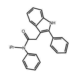 CC(C)N(C(=O)Cc1c(-c2ccccc2)[nH]c2ccccc12)c1ccccc1